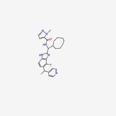 CC(c1ccncc1)c1ccc2[nH]c(C(NC(=O)c3ccnn3C)C3CCCCCCC3)nc2c1F